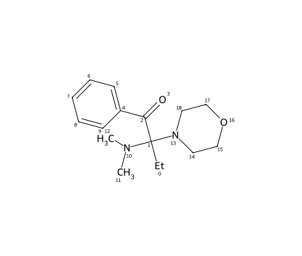 CCC(C(=O)c1ccccc1)(N(C)C)N1CCOCC1